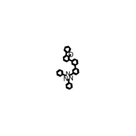 c1ccc(-c2nc(-c3ccccc3)nc(-c3cccc(-c4cccc(-c5cccc6c5oc5ccccc56)c4)c3)n2)cc1